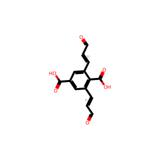 O=C/C=C/c1cc(C(=O)O)cc(/C=C/C=O)c1C(=O)O